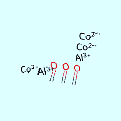 C=O.C=O.C=O.[Al+3].[Al+3].[Co-2].[Co-2].[Co-2]